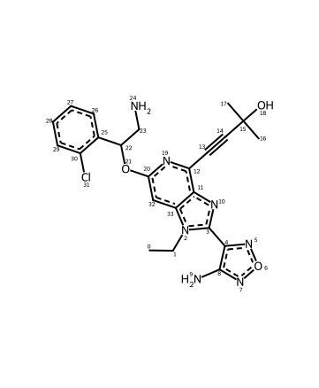 CCn1c(-c2nonc2N)nc2c(C#CC(C)(C)O)nc(OC(CN)c3ccccc3Cl)cc21